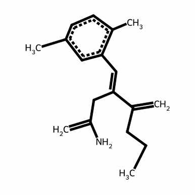 C=C(N)C/C(=C\c1cc(C)ccc1C)C(=C)CCC